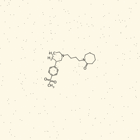 CCN(CCCCN1CCCCCC1=O)CC(C)c1ccc(S(C)(=O)=O)cc1